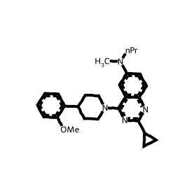 CCCN(C)c1ccc2nc(C3CC3)nc(N3CCC(c4ccccc4OC)CC3)c2c1